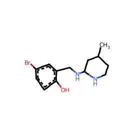 CC1CCNC(NCc2cc(Br)ccc2O)C1